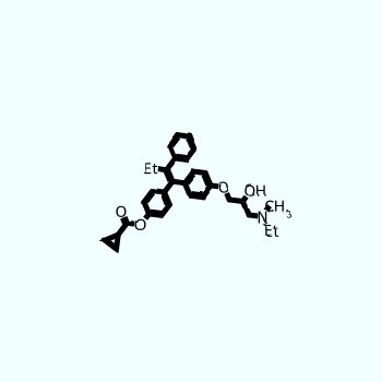 CCC(=C(c1ccc(OCC(O)CN(C)CC)cc1)c1ccc(OC(=O)C2CC2)cc1)c1ccccc1